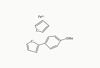 COc1ccc(-c2ccc[cH-]2)cc1.[Fe+2].c1cc[cH-]c1